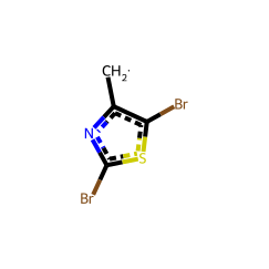 [CH2]c1nc(Br)sc1Br